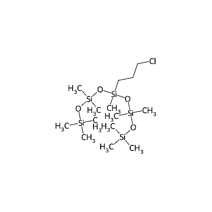 C[Si](C)(C)O[Si](C)(C)O[Si](C)(CCCCl)O[Si](C)(C)O[Si](C)(C)C